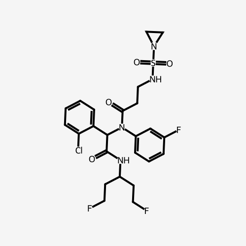 O=C(NC(CCF)CCF)C(c1ccccc1Cl)N(C(=O)CCNS(=O)(=O)N1CC1)c1cccc(F)c1